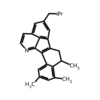 Cc1cc(C)c2c(c1)C1=C(CC2C)c2cc(CC(C)C)cc3ccnc1c23